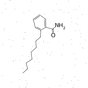 CCCCCCCCc1ccccc1C(N)=O